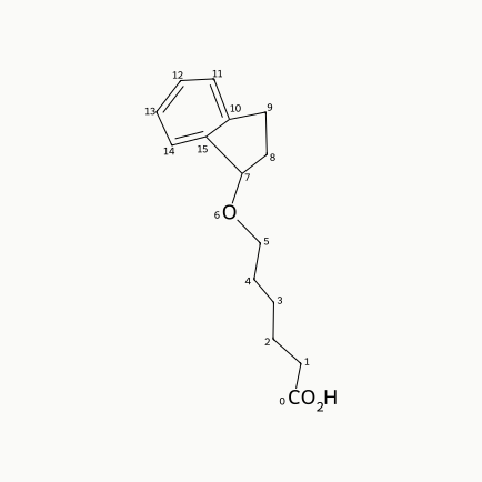 O=C(O)CCCCCOC1CCc2ccccc21